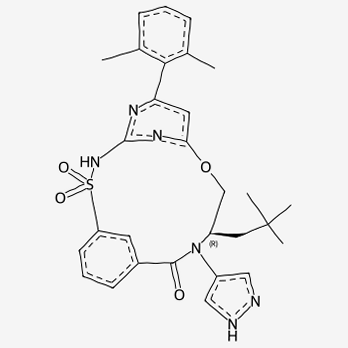 Cc1cccc(C)c1-c1cc2nc(n1)NS(=O)(=O)c1cccc(c1)C(=O)N(c1cn[nH]c1)[C@H](CC(C)(C)C)CO2